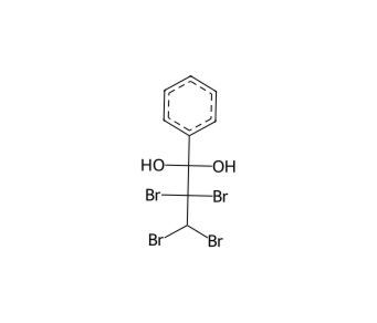 OC(O)(c1ccccc1)C(Br)(Br)C(Br)Br